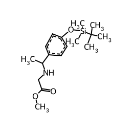 COC(=O)CNC(C)c1ccc(O[Si](C)(C)C(C)(C)C)cc1